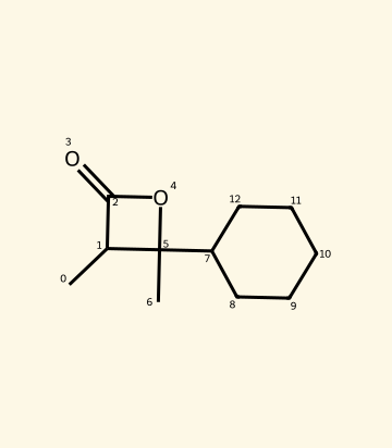 CC1C(=O)OC1(C)C1CCCCC1